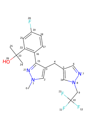 Cn1cc(Cc2cnn(CC(F)(F)F)c2)c(-c2ccc(F)cc2C(C)(C)O)n1